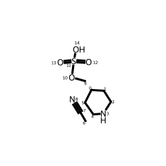 C1CCNCC1.CC#N.COS(=O)(=O)O